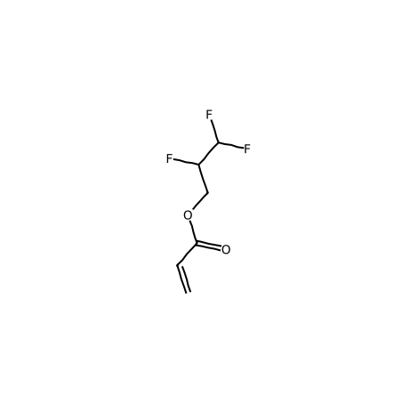 C=CC(=O)OCC(F)C(F)F